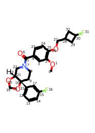 COc1cc(C(=O)N2CC[C@]3(c4cccc(F)c4)OCO[C@@H]3C2)ccc1OCC1CC(F)C1